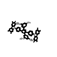 Cc1cc2c3cc(C)c(C)cc3n(-c3ccc(-c4cc(-c5cc(C(C)(C)C)cc(C(C)(C)C)c5)c(-c5ccc(-n6c7cc(C)c(C)cc7c7cc(C)c(C)cc76)cc5)cc4-c4cc(C(C)(C)C)cc(C(C)(C)C)c4)cc3)c2cc1C